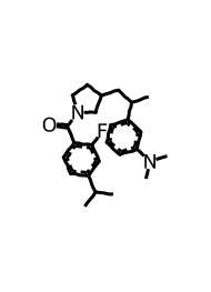 CC(C)c1ccc(C(=O)N2CCC(CC(C)c3cccc(N(C)C)c3)C2)c(F)c1